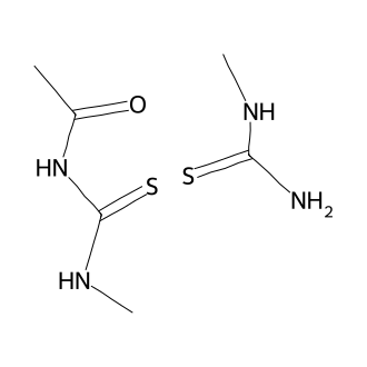 CNC(=S)NC(C)=O.CNC(N)=S